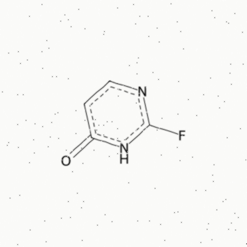 O=c1ccnc(F)[nH]1